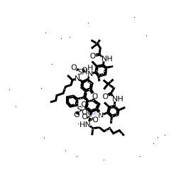 CCCCCCC(C)NS(=O)(=O)c1cc2c(-c3ccccc3S(=O)(=O)O)c3cc(N(C(C)CCCCCC)[SH](=O)=O)c(Nc4c(C)cc(C)c(NC(=O)CC(C)(C)C)c4C)cc3oc-2c/c1=N\c1c(C)cc(C)c(NC(=O)CC(C)(C)C)c1C